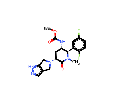 CN1C(=O)[C@H](N2Cc3cn[nH]c3C2)C[C@H](NC(=O)OC(C)(C)C)[C@H]1c1cc(F)ccc1F